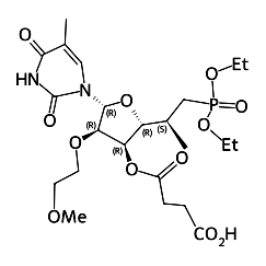 CCOP(=O)(C[C@@H](C)[C@H]1O[C@@H](n2cc(C)c(=O)[nH]c2=O)[C@H](OCCOC)[C@@H]1OC(=O)CCC(=O)O)OCC